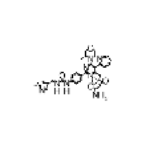 C[C@H]1COCCN1c1nc(-c2ccc(NC(=O)NCc3cnn(C)c3)cc2)nc(CS(=O)(=O)CC(N)=O)c1-c1ccncn1